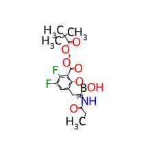 CCC(=O)N[C@H]1Cc2cc(F)c(F)c(C(=O)OCOC(=O)C(C)(C)C)c2OB1O